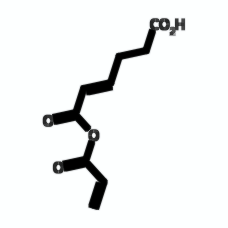 C=CC(=O)OC(=O)C=CCCC(=O)O